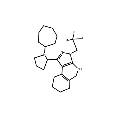 FC(F)(F)Cn1nc([C@H]2CCCN2C2CCCCCC2)c2c1NCC1=C2CCCC1